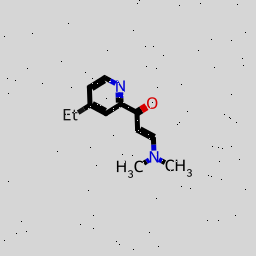 CCc1ccnc(C(=O)C=CN(C)C)c1